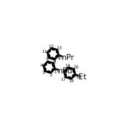 CCCCc1ccccc1.CCCc1ccccc1.CCc1ccccc1